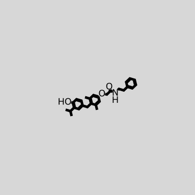 Cc1cc(OCC(=O)NCCc2ccccc2)cc(C)c1Cc1ccc(O)c(C(C)C)c1